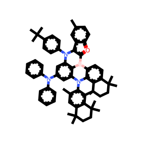 Cc1ccc2oc3c(c2c1)N(c1ccc(C(C)(C)C)cc1)c1cc(N(c2ccccc2)c2ccccc2)cc2c1B3c1ccc3c4c1N2c1c(C)cc2c(c1C4(C)CCC3(C)C)C(C)(C)CCC2(C)C